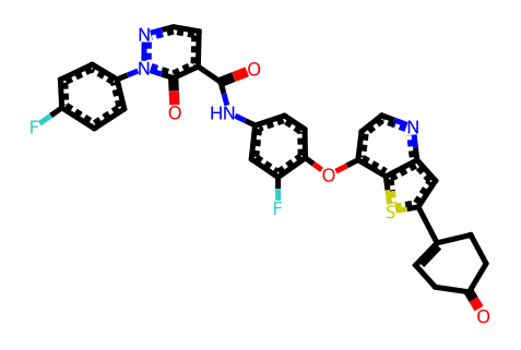 O=C1CC=C(c2cc3nccc(Oc4ccc(NC(=O)c5ccnn(-c6ccc(F)cc6)c5=O)cc4F)c3s2)CC1